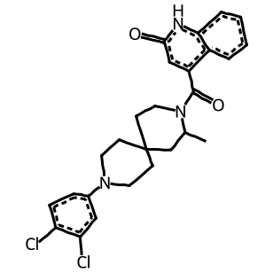 CC1CC2(CCN(c3ccc(Cl)c(Cl)c3)CC2)CCN1C(=O)c1cc(=O)[nH]c2ccccc12